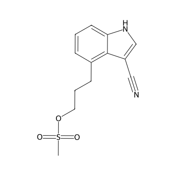 CS(=O)(=O)OCCCc1cccc2[nH]cc(C#N)c12